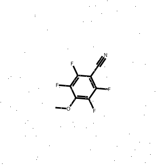 COc1c(F)c(F)c(C#N)c(F)c1F